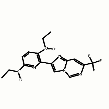 CC[S+]([O-])c1ccc([S+]([O-])CC)c(-c2cn3cnc(C(F)(F)F)cc3n2)n1